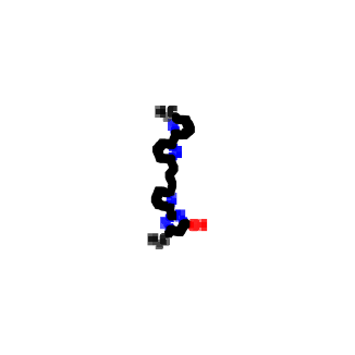 Cc1cccc(-c2cccc(CCCc3cccc(-c4nc(C)cc(O)n4)n3)n2)n1